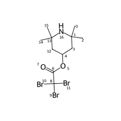 CC1(C)CC(OC(=O)C(Br)(Br)Br)CC(C)(C)N1